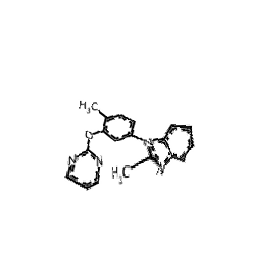 Cc1ccc(-n2c(C)nc3ccccc32)cc1Oc1ncccn1